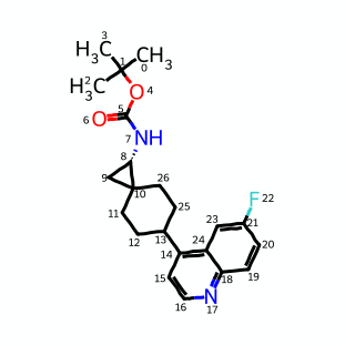 CC(C)(C)OC(=O)N[C@H]1CC12CCC(c1ccnc3ccc(F)cc13)CC2